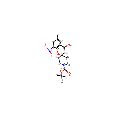 Cc1cc2c(c([N+](=O)[O-])c1)OC1(CCN(C(=O)OC(C)(C)C)CC1)CC2=O